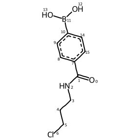 O=C(NCCCCl)c1ccc(B(O)O)cc1